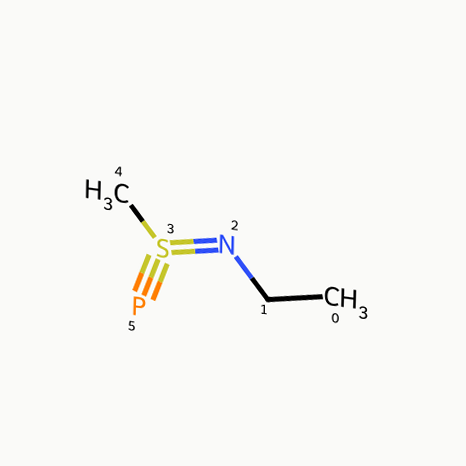 CCN=S(C)#P